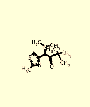 Cc1nc(C(C(=O)C(C)(C)C)N(C)C)cs1